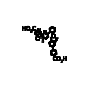 O=C(O)c1ccc(-c2ccc(COc3ccccc3-c3cccc(-n4nc(C(=O)O)cc4C(F)(F)F)n3)c(F)c2)cc1